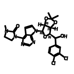 CN1CCN(c2ncnc3c2ccn3[C@@H]2O[C@H](C(O)c3ccc(Cl)c(Cl)c3)[C@H]3OC(C)(C)O[C@H]32)C1=O